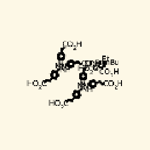 CCCCC(CC)(CC)CC(CC(=O)O)C(=O)O.O=C(O)CCc1ccc(C2=NN(c3ccc(CCC(=O)O)cc3)N(c3ccc(CCC(=O)O)cc3)N2)cc1.O=C(O)CCc1ccc(C2=NN(c3ccc(CCC(=O)O)cc3)N(c3ccc(CCC(=O)O)cc3)N2)cc1